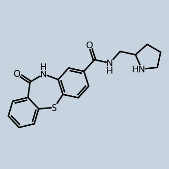 O=C(NCC1CCCN1)c1ccc2c(c1)NC(=O)c1ccccc1S2